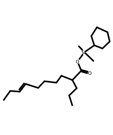 CCC=CCCCCC(CCC)C(=O)O[Si](C)(C)C1CCCCC1